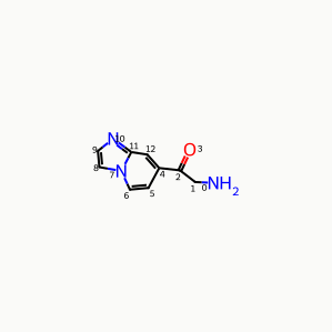 NCC(=O)c1ccn2ccnc2c1